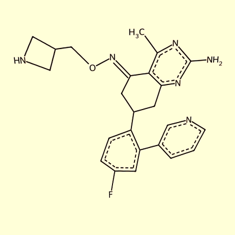 Cc1nc(N)nc2c1C(=NOCC1CNC1)CC(c1ccc(F)cc1-c1cccnc1)C2